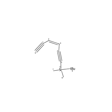 C#C/C=C\C#C[Si](C)(C)C(C)(C)C